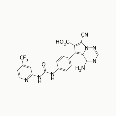 N#Cc1c(C(=O)O)c(-c2ccc(NC(=O)Nc3cc(C(F)(F)F)ccn3)cc2)c2c(N)ncnn12